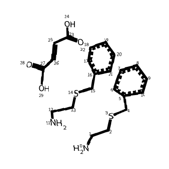 NCCSCc1ccccc1.NCCSCc1ccccc1.O=C(O)C=CC(=O)O